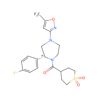 O=C(C1CCS(=O)(=O)CC1)N1CCN(c2cc(C(F)(F)F)on2)C[C@H]1c1ccc(F)cc1